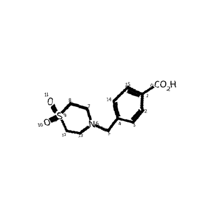 O=C(O)c1ccc(CN2CCS(=O)(=O)CC2)cc1